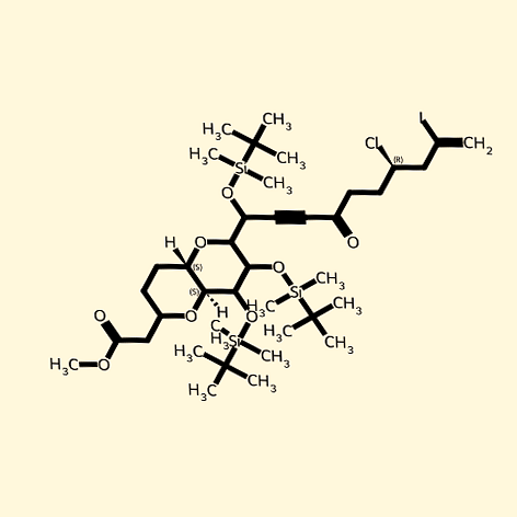 C=C(I)C[C@H](Cl)CCC(=O)C#CC(O[Si](C)(C)C(C)(C)C)C1O[C@H]2CCC(CC(=O)OC)O[C@@H]2C(O[Si](C)(C)C(C)(C)C)C1O[Si](C)(C)C(C)(C)C